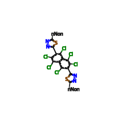 CCCCCCCCCc1nnc(-c2c(Cl)c(Cl)c3c(Cl)c(-c4nnc(CCCCCCCCC)s4)c(Cl)c(Cl)c3c2Cl)s1